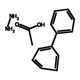 CC(=O)O.NN.c1ccc(-c2ccccc2)cc1